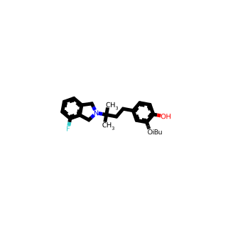 CC(C)COc1cc(CCC(C)(C)N2Cc3cccc(F)c3C2)ccc1O